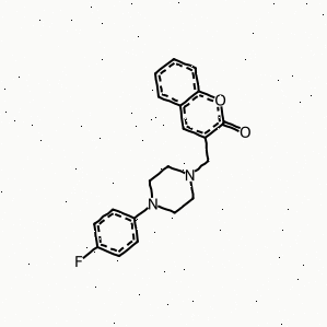 O=c1oc2ccccc2cc1CN1CCN(c2ccc(F)cc2)CC1